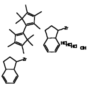 CC1=C(C)C(C)(C)C(C2=C(C)C(C)=C(C)C2(C)C)=C1C.Cl.Cl.Cl.Cl.[Zr][CH]1CCC2C=CC=CC12.[Zr][CH]1CCC2C=CC=CC12